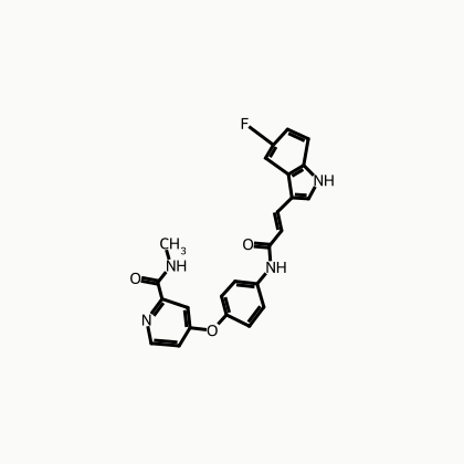 CNC(=O)c1cc(Oc2ccc(NC(=O)C=Cc3c[nH]c4ccc(F)cc34)cc2)ccn1